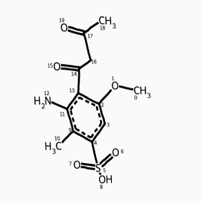 COc1cc(S(=O)(=O)O)c(C)c(N)c1C(=O)CC(C)=O